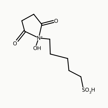 O=C1CCC(=O)[N+]1(O)CCCCCS(=O)(=O)O